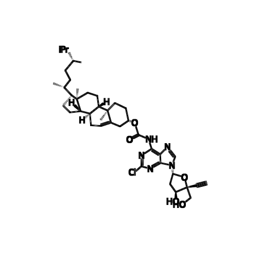 C#C[C@]1(CO)O[C@@H](n2cnc3c(NC(=O)O[C@H]4CC[C@@]5(C)C(=CC[C@H]6[C@@H]7CC[C@H]([C@H](C)CC[C@@H](C)C(C)C)[C@@]7(C)CC[C@@H]65)C4)nc(Cl)nc32)C[C@@H]1O